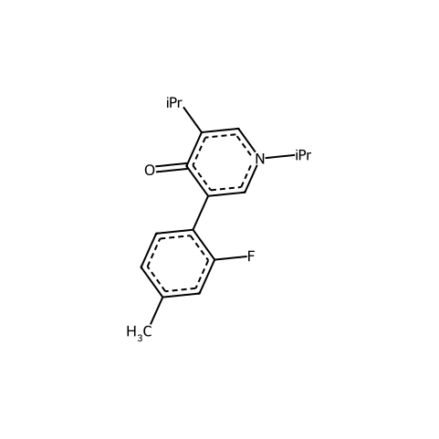 Cc1ccc(-c2cn(C(C)C)cc(C(C)C)c2=O)c(F)c1